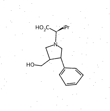 CC(C)[C@H](C(=O)O)N1CC(CO)C(c2ccccc2)C1